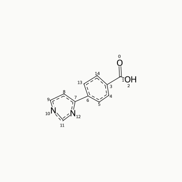 O=C(O)c1ccc(-c2ccncn2)cc1